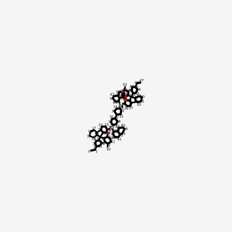 C=Cc1ccc(C2(c3cc(C)ccc3C)C3=C(C=CCC3)c3ccc(N(c4ccc(-c5ccc(N(c6ccc7c(c6)C(c6ccc(C=C)cc6)(c6cc(C)ccc6C)c6ccccc6-7)c6cccc7ccccc67)cc5)cc4)c4cccc5ccccc45)cc32)cc1